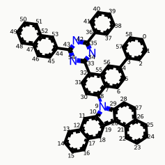 c1ccc(-c2ccc3c(-n4c5cc6ccccc6cc5c5c6ccccc6ccc54)ccc(-c4nc(-c5ccccc5)nc(-c5ccc6ccccc6c5)n4)c3c2)cc1